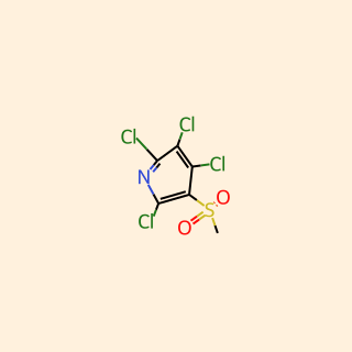 CS(=O)(=O)c1c(Cl)nc(Cl)c(Cl)c1Cl